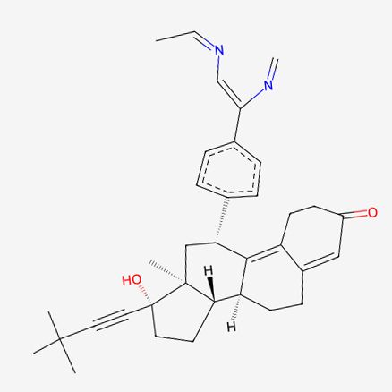 C=N/C(=C\N=C/C)c1ccc([C@H]2C[C@@]3(C)[C@@H](CC[C@@]3(O)C#CC(C)(C)C)[C@@H]3CCC4=CC(=O)CCC4=C32)cc1